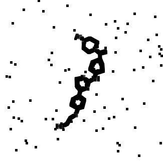 C=C(c1ccc(Nc2nccc(-c3ccc(SCCO)cc3)n2)cc1)N1CCN(C(C)=O)CC1